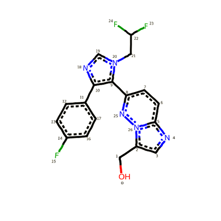 OCc1cnc2ccc(-c3c(-c4ccc(F)cc4)ncn3CC(F)F)nn12